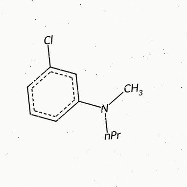 [CH2]CCN(C)c1cccc(Cl)c1